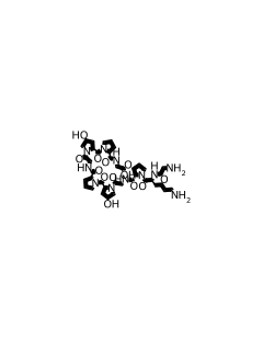 NCCCC[C@H](NC(=O)CN)C(=O)N1CCC[C@H]1C(=O)NCC(=O)N1C[C@H](O)C[C@H]1C(=O)N1CCC[C@H]1C(=O)NCC(=O)N1C[C@H](O)C[C@H]1C(=O)N1CCC[C@H]1C(=O)NCC(=O)O